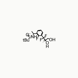 CC(N[S+]([O-])C(C)(C)C)c1cccc(C(F)(F)[C@](C)(O)CO)c1F